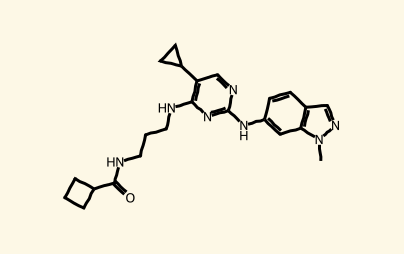 Cn1ncc2ccc(Nc3ncc(C4CC4)c(NCCCNC(=O)C4CCC4)n3)cc21